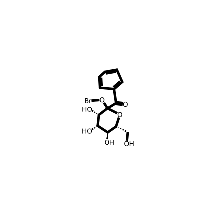 O=C(c1ccccc1)C1(OBr)O[C@H](CO)[C@@H](O)[C@H](O)[C@@H]1O